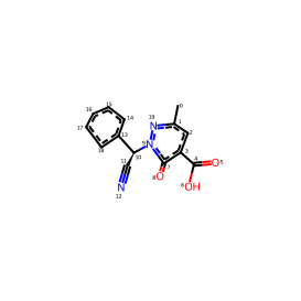 Cc1cc(C(=O)O)c(=O)n([C@@H](C#N)c2ccccc2)n1